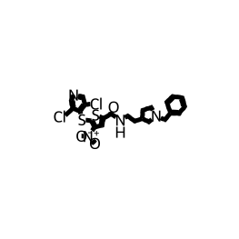 O=C(NCCC1CCN(Cc2ccccc2)C1)c1cc([N+](=O)[O-])c(Sc2c(Cl)cncc2Cl)s1